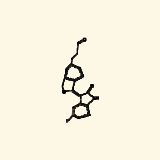 O=CCCc1ccc2c(c1)CO/C2=C1/C(=O)Nc2ccc(F)cc21